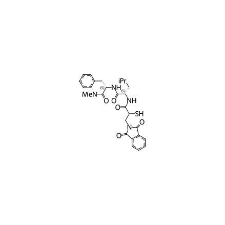 CNC(=O)[C@H](Cc1ccccc1)NC(=O)[C@H](CC(C)C)NC(=O)C(S)CN1C(=O)c2ccccc2C1=O